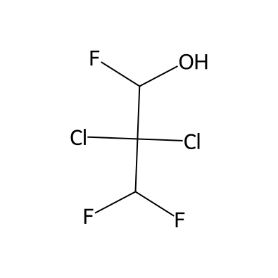 OC(F)C(Cl)(Cl)C(F)F